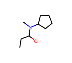 CCC(O)N(C)C1CCCC1